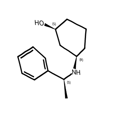 C[C@H](N[C@@H]1CCC[C@H](O)C1)c1ccccc1